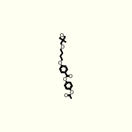 CC(=O)Oc1ccc(OC(=O)c2ccc(OCCCCOCC3(C)COC3)cc2)cc1